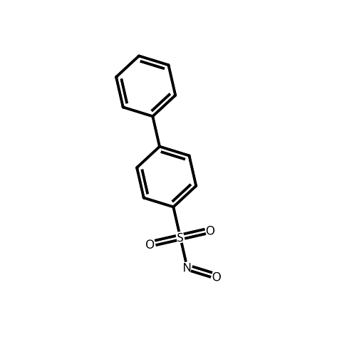 O=NS(=O)(=O)c1ccc(-c2ccccc2)cc1